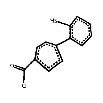 O=C(Cl)c1ccc(-c2ccccc2S)cc1